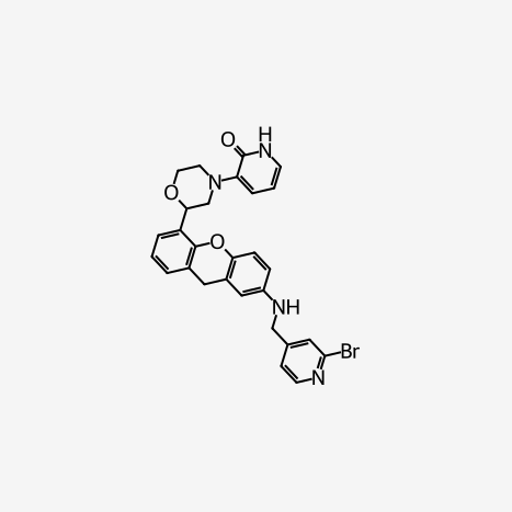 O=c1[nH]cccc1N1CCOC(c2cccc3c2Oc2ccc(NCc4ccnc(Br)c4)cc2C3)C1